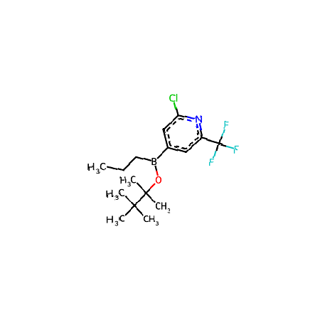 CCCB(OC(C)(C)C(C)(C)C)c1cc(Cl)nc(C(F)(F)F)c1